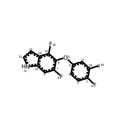 Fc1ccc(Oc2c(F)cc3[nH]ccc3c2F)cc1I